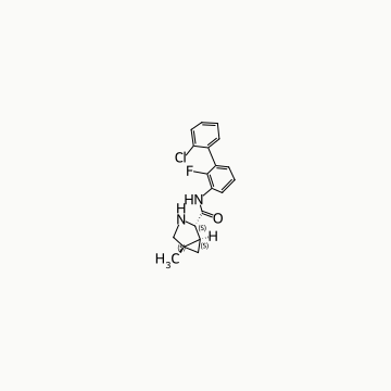 C[C@@]12CN[C@H](C(=O)Nc3cccc(-c4ccccc4Cl)c3F)[C@H]1C2